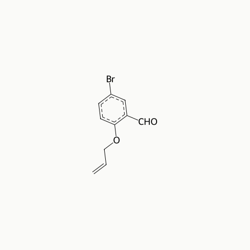 C=CCOc1ccc(Br)cc1C=O